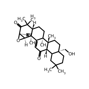 CC1(C)CC[C@]2(CO)CC[C@]3(C)[C@@H](C(=O)C=C4[C@@]5(C)[C@H]6O[C@@]6(C#N)C(=O)C(C)(C)[C@@H]5CC[C@]43C)C2C1